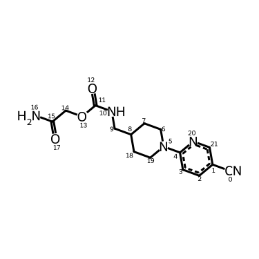 N#Cc1ccc(N2CCC(CNC(=O)OCC(N)=O)CC2)nc1